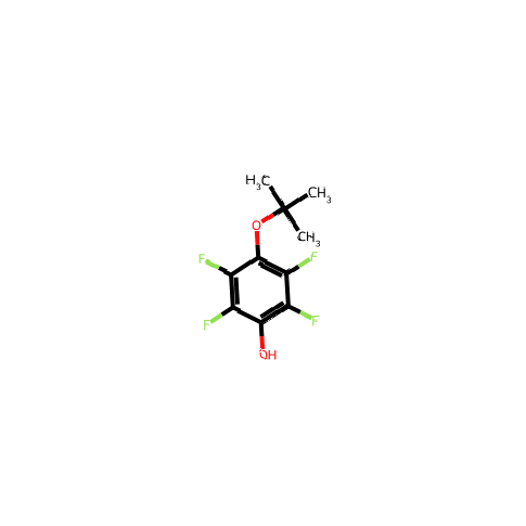 CC(C)(C)Oc1c(F)c(F)c(O)c(F)c1F